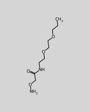 CCCOCCOCCNC(=O)CON